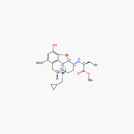 COc1cc(O)c2c3c1C[C@@H]1[C@@H]4CC[C@H](N[C@@H](CC(C)C)C(=O)OC(C)(C)C)[C@H](O2)[C@]34CCN1CC1CC1